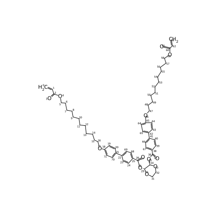 C=CC(=O)OCCCCCCCCCCCCOc1ccc(-c2ccc(C(=O)O[C@H]3OCCO[C@@H]3OC(=O)c3ccc(-c4ccc(OCCCCCCCCCCCCOC(=O)C=C)cc4)cc3)cc2)cc1